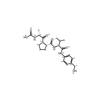 CC(C)[C@H](NC(=O)[C@@H]1CCCN1C(=O)[C@@H](C)NC(=O)O)C(=O)Nc1ccc(CO)cc1